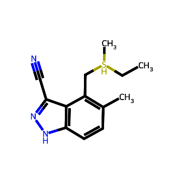 CC[SH](C)Cc1c(C)ccc2[nH]nc(C#N)c12